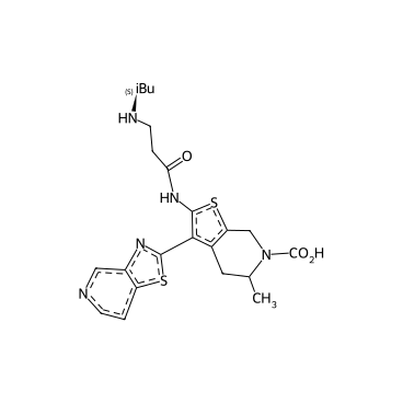 CC[C@H](C)NCCC(=O)Nc1sc2c(c1-c1nc3cnccc3s1)CC(C)N(C(=O)O)C2